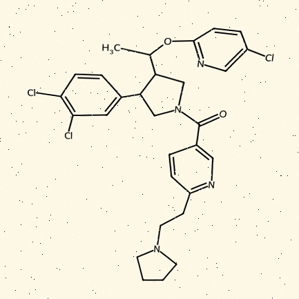 CC(Oc1ccc(Cl)cn1)C1CN(C(=O)c2ccc(CCN3CCCC3)nc2)CC1c1ccc(Cl)c(Cl)c1